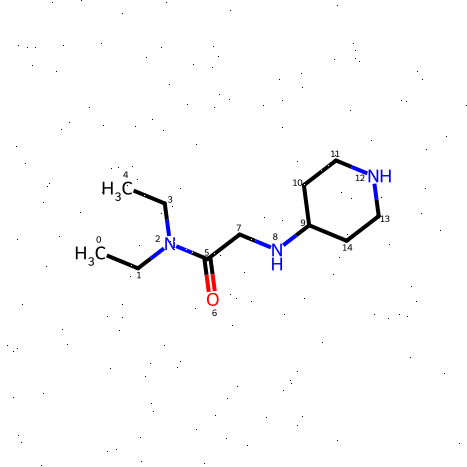 CCN(CC)C(=O)CNC1CCNCC1